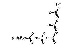 [Bi+3].[Bi+3].[O]=[Ti]([O-])[O-].[O]=[Ti]([O-])[O-].[O]=[Ti]([O-])[O-].[O]=[Ti]([O-])[O-].[O]=[Ti]([O-])[O-].[Pb+2].[Pb+2]